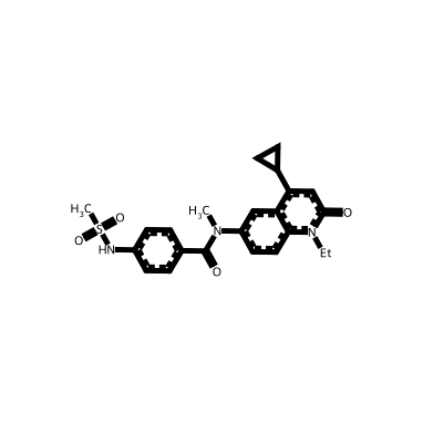 CCn1c(=O)cc(C2CC2)c2cc(N(C)C(=O)c3ccc(NS(C)(=O)=O)cc3)ccc21